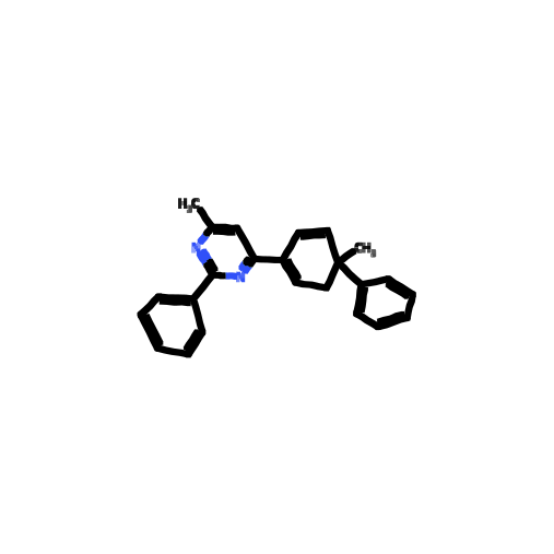 Cc1cc(C2=CCC(C)(c3ccccc3)C=C2)nc(-c2ccccc2)n1